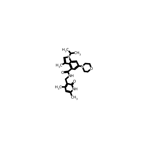 Cc1cc(C)c(CNC(=O)c2cc(N3CCOCC3)cc3c2c(C)cn3C(C)C)c(=O)[nH]1